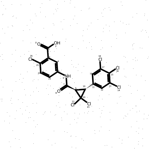 O=C(O)c1cc(NC(=O)[C@H]2[C@H](c3cc(Cl)c(Cl)c(Cl)c3)C2(Cl)Cl)ccc1Cl